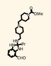 COC(=O)N1CCC(CN2CCC(CNC3(C(C)C)Nc4cccc(C=O)c4N3)CC2)CC1